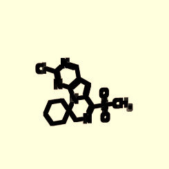 CS(=O)(=O)C1=NCC2(CCCCC2)n2c1cc1cnc(Cl)nc12